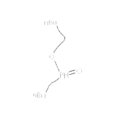 CCCCCO[PH](=O)CCCC